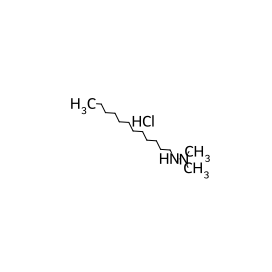 CCCCCCCCCCCCNN(C)C.Cl